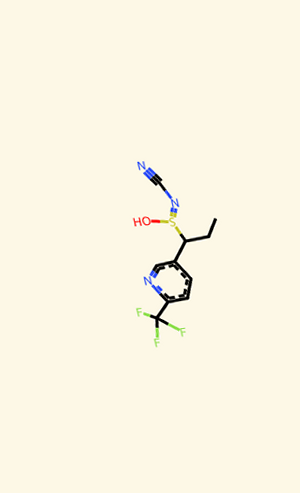 CCC(c1ccc(C(F)(F)F)nc1)S(O)=NC#N